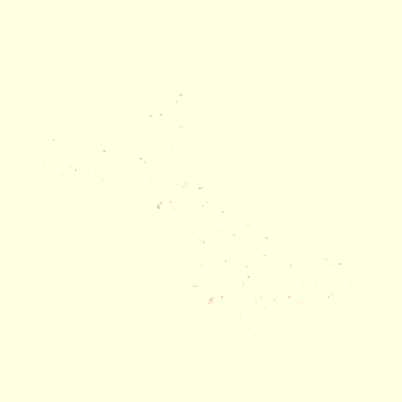 CC1(C)c2ccccc2-c2ccc(N(c3ccc(-c4ccccc4)cc3)c3ccc4c(c3)C(C)(C)c3cc(-c5ccc6c(c5)C5(c7ccccc7-c7ccccc75)c5ccc(-c7ccccc7)cc5-6)ccc3-4)cc21